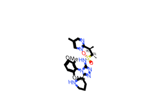 COc1cccc(OC)c1-n1c(NS(=O)(=O)[C@@H](C)[C@H](C)c2ncc(C)cn2)nnc1[C@@H]1CCCNC1